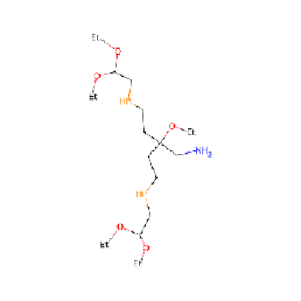 CCOC(CPCCC(CN)(CCPCC(OCC)OCC)OCC)OCC